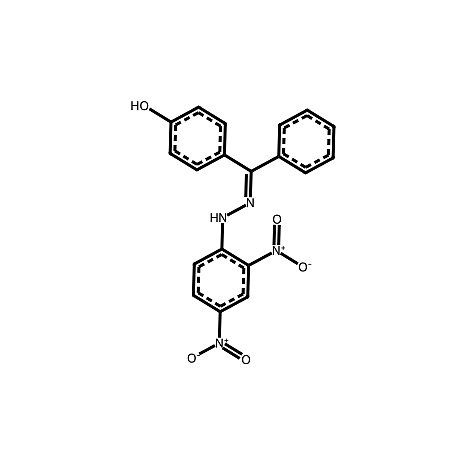 O=[N+]([O-])c1ccc(NN=C(c2ccccc2)c2ccc(O)cc2)c([N+](=O)[O-])c1